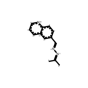 CC(C)=NN=Cc1ccc2nc[c]cc2c1